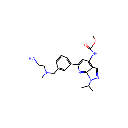 COC(=O)Nc1cc(-c2cccc(CN(C)CCN)c2)nc2c1cnn2C(C)C